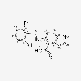 O=C(O)c1c(NCc2c(F)cccc2Cl)ccc2nccn12